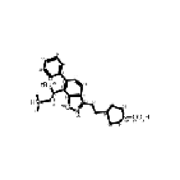 C[SiH](C)OC(c1c(-c2ccccc2)ccc2c(CCC3CCN(C(=O)O)CC3)noc12)C(C)(C)C